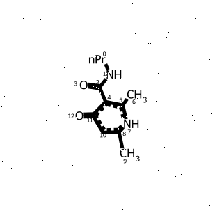 CCCNC(=O)c1c(C)[nH]c(C)cc1=O